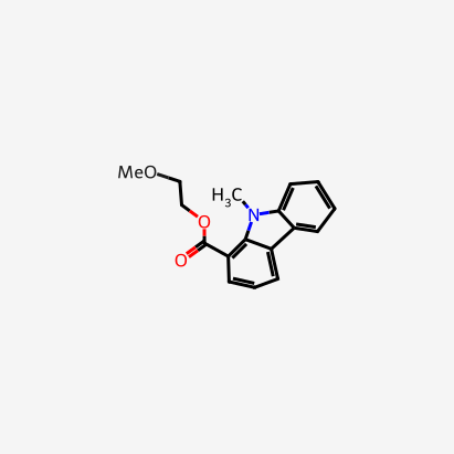 COCCOC(=O)c1cccc2c3ccccc3n(C)c12